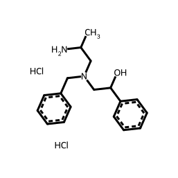 CC(N)CN(Cc1ccccc1)CC(O)c1ccccc1.Cl.Cl